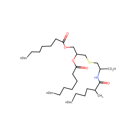 CCCCCCCCCCCCCCCC(=O)OCC(CSCC(NC(=O)C(C)CCCCCCCCCCCCC)C(=O)O)OC(=O)CCCCCCCCCCCCCCC